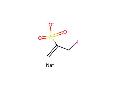 C=C(CI)S(=O)(=O)[O-].[Na+]